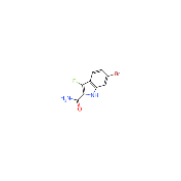 NC(=O)c1[nH]c2cc(Br)ccc2c1F